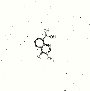 Cn1cnc2c(B(O)O)cccc2c1=O